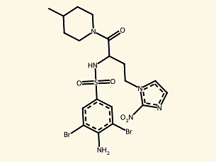 CC1CCN(C(=O)C(CCn2ccnc2[N+](=O)[O-])NS(=O)(=O)c2cc(Br)c(N)c(Br)c2)CC1